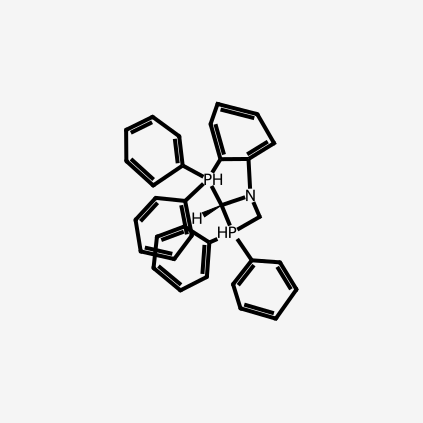 c1ccc([PH]2(c3ccccc3)CN3c4ccccc4[PH](c4ccccc4)(c4ccccc4)[C@H]32)cc1